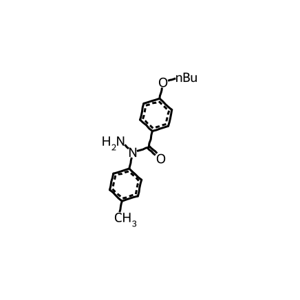 CCCCOc1ccc(C(=O)N(N)c2ccc(C)cc2)cc1